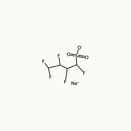 O=S(=O)([O-])C(F)C(F)C(F)C(F)F.[Na+]